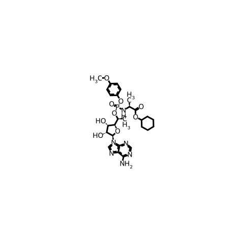 COc1ccc(OP(=O)(N[C@@H](C)C(=O)OC2CCCCC2)O[C@@H](C)[C@H]2O[C@@H](n3cnc4c(N)ncnc43)[C@H](O)[C@@H]2O)cc1